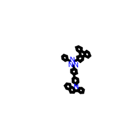 c1ccc(-c2nc(-c3ccc(-c4ccc(-n5c6ccccc6c6ccc7ccccc7c65)cc4)cc3)nc(-c3ccc4c5ccccc5c5ccccc5c4c3)n2)cc1